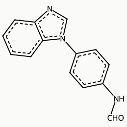 O=CNc1ccc(-n2cnc3ccccc32)cc1